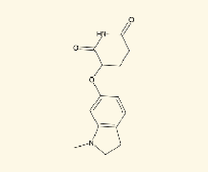 CN1CCc2ccc(OC3CCC(=O)NC3=O)cc21